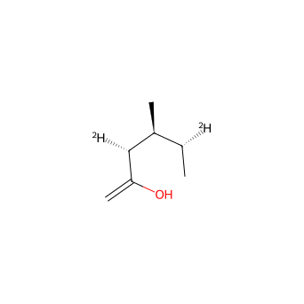 [2H][C@H](C)[C@H](C)[C@@H]([2H])C(=C)O